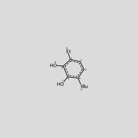 CCc1ccc(C(C)(C)C)c(O)c1O